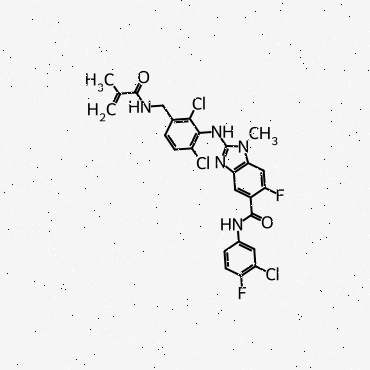 C=C(C)C(=O)NCc1ccc(Cl)c(Nc2nc3cc(C(=O)Nc4ccc(F)c(Cl)c4)c(F)cc3n2C)c1Cl